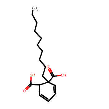 CCCCCCCCCCC1(C(=O)O)C=CC=CC1C(=O)O